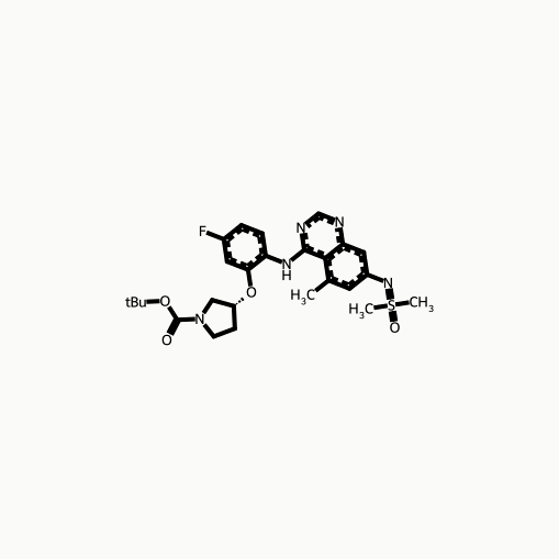 Cc1cc(N=S(C)(C)=O)cc2ncnc(Nc3ccc(F)cc3O[C@@H]3CCN(C(=O)OC(C)(C)C)C3)c12